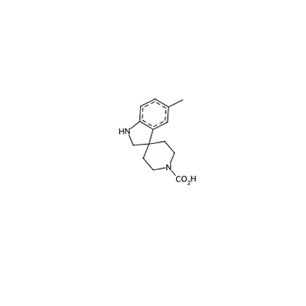 Cc1ccc2c(c1)C1(CCN(C(=O)O)CC1)CN2